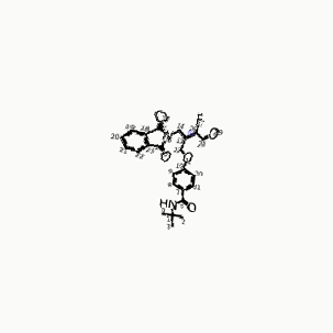 CC(C)(C)NC(=O)c1ccc(OC/C(CN2C(=O)c3ccccc3C2=O)=C(/F)C=O)cc1